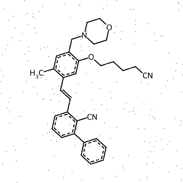 Cc1cc(CN2CCOCC2)c(OCCCCC#N)cc1/C=C/c1cccc(-c2ccccc2)c1C#N